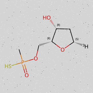 [3H][C@H]1C[C@@H](O)[C@@H](COP(C)(=O)S)O1